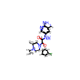 Cc1cc(NC(=O)C(=O)N2C[C@H](C)N(CC(C)C)C[C@H]2c2ccc(F)cc2)cnc1N